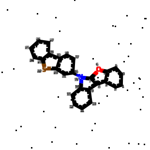 c1ccc2c(c1)oc1c2c2ccccc2n1-c1ccc2c(c1)sc1ccccc12